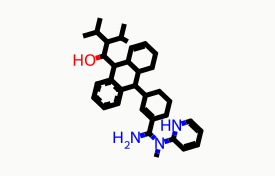 CC(C)C(C(C)C)C(O)C1c2ccccc2C(C2C=C(C(N)N(C)C3C=CC=CN3)CCC2)C2CCC=CC21